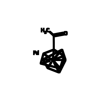 CC(=O)[C]12[CH]3[CH]4[CH]5[CH]1[Fe]45321678[CH]2[CH]1[CH]6[CH]7[CH]28.[Pd]